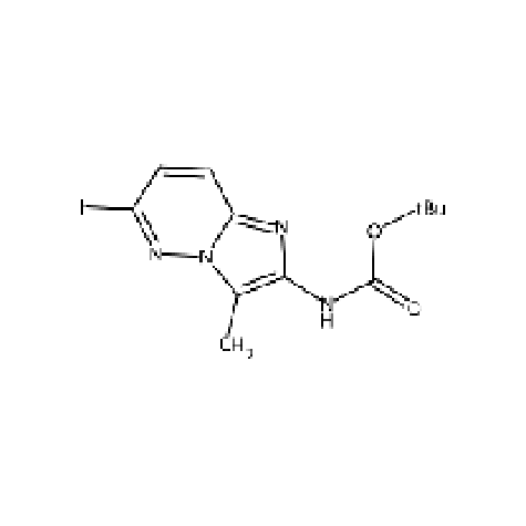 Cc1c(NC(=O)OC(C)(C)C)nc2ccc(I)nn12